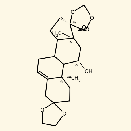 C[C@]12CCC3(CC1=CCC1C2[C@@H](O)C[C@@]2(C)C1CC[C@@]21OCOC12COCO2)OCCO3